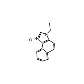 CCn1c[n+]([O-])c2c3ccccc3ccc21